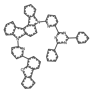 c1ccc(-c2nc(-c3ccccc3)nc(-c3cccc(-n4c5ccccc5c5c6c7ccccc7n(-c7cccc(-c8cccc9c8oc8ccccc89)n7)c6ccc54)n3)n2)cc1